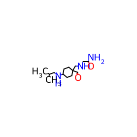 CC(C)CNC1CCC(C=O)(CNCC(N)=O)CC1